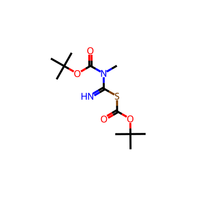 CN(C(=N)SC(=O)OC(C)(C)C)C(=O)OC(C)(C)C